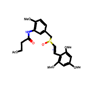 COc1cc(OC)c(/C=C/[S+]([O-])Cc2ccc(OC)c(NC(=O)CCOC(C)=O)c2)c(OC)c1